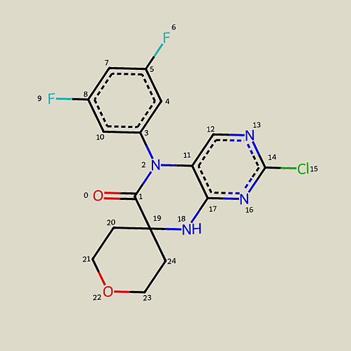 O=C1N(c2cc(F)cc(F)c2)c2cnc(Cl)nc2NC12CCOCC2